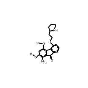 CCCOc1cc(OCCC)c2c(c1N)C(=O)c1cccc(OCCC3CCCN3)c1-2